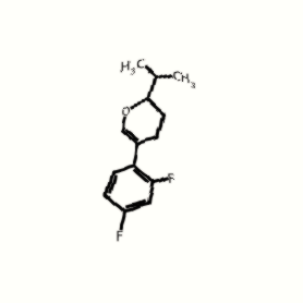 CC(C)C1CCC(c2ccc(F)cc2F)=CO1